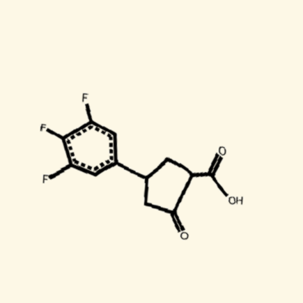 O=C(O)C1CC(c2cc(F)c(F)c(F)c2)CC1=O